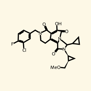 COC[C@@H]1C[C@@H]1N1C(=O)c2c3c(c(O)c(=O)n2C1C1CC1)C(=O)N(Cc1ccc(F)c(Cl)c1)CC3